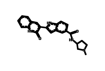 CN1CCC(NC(=O)c2ccc3[nH]c(-c4cc5ccccc5[nH]c4=O)cc3c2)C1